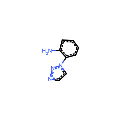 Nc1ccccc1-n1ccnn1